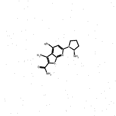 CCCc1cc(N2CCC[C@H]2N)nc2sc(C(N)=O)c(N)c12